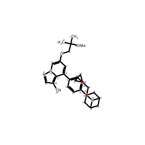 COC(C)(C)COc1cc(-c2ccc(N3CC4CC(C3)N4SCC3CC3)nc2)c2c(C#N)cnn2c1